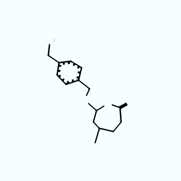 CC1CCC(=O)OC(OCc2ccc(CO)cc2)C1